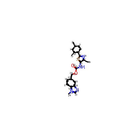 Cc1ccc(-c2nc(C)c(NC(=O)OCc3ccc4c(c3)ncn4C)s2)c(C)c1